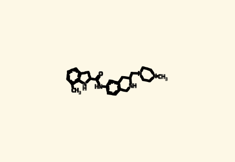 Cc1cccc2c1NC(C(=O)Nc1ccc3c(c1)CC(CN1CCN(C)CC1)NC3)C2